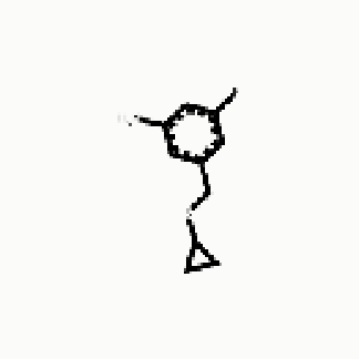 Nc1cc(F)cc(CSC2CC2)c1